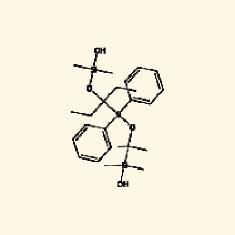 CCC(CC)(O[Si](C)(C)O)[Si](OC(C)(C)[Si](C)(C)O)(c1ccccc1)c1ccccc1